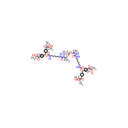 CC(COCC(C)OCC(C)NC(=O)NCCCCCCNC(=O)OC(c1ccc(C(=O)C(C)(C)O)cc1)c1ccc(C(=O)C(C)(C)O)cc1)NC(=O)NCCCCCCNC(=O)OC(c1ccc(C(=O)C(C)(C)O)cc1)c1ccc(C(=O)C(C)(C)O)cc1